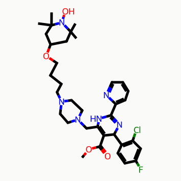 COC(=O)C1=C(CN2CCN(CCCCOC3CC(C)(C)N(O)C(C)(C)C3)CC2)NC(c2ccccn2)=NC1c1ccc(F)cc1Cl